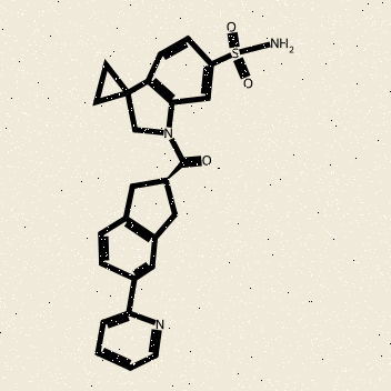 NS(=O)(=O)c1ccc2c(c1)N(C(=O)[C@@H]1Cc3ccc(-c4ccccn4)cc3C1)CC21CC1